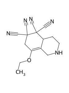 CCOC1=C2CNCCC2C(C#N)(C#N)C(C#N)(C#N)C1